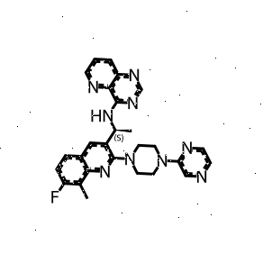 Cc1c(F)ccc2cc([C@H](C)Nc3ncnc4cccnc34)c(N3CCN(c4cnccn4)CC3)nc12